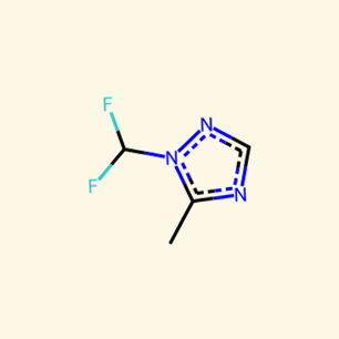 Cc1ncnn1C(F)F